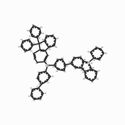 C1=CC2=C(C=C(N(c3ccc(-c4ccccc4)cc3)c3ccc(-c4ccc5c(c4)c4ccccc4n5-c4ccccc4)cc3)C1)c1ccccc1C2(c1ccccc1)c1ccccc1